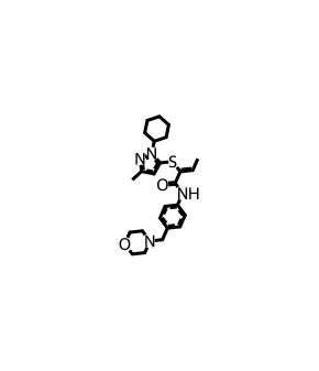 C/C=C(\Sc1cc(C)nn1C1CCCCC1)C(=O)Nc1ccc(CN2CCOCC2)cc1